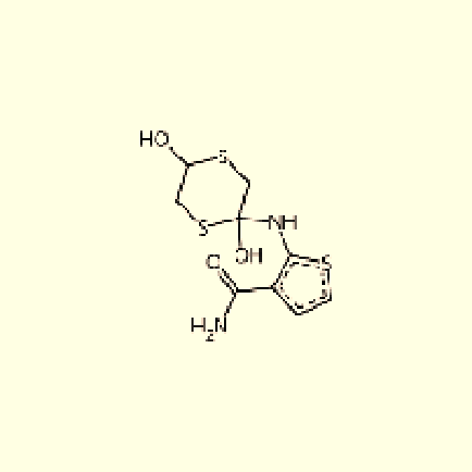 NC(=O)c1ccsc1NC1(O)CSC(O)CS1